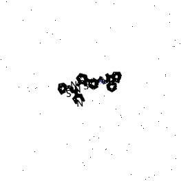 CC1=C(/C=C(\C)c2ccc3sc4c(-c5nc6c(c(-c7ccncc7)n5)SC5CC=CC=C65)cccc4c3c2)C2(CCCCC2)c2ccccc21